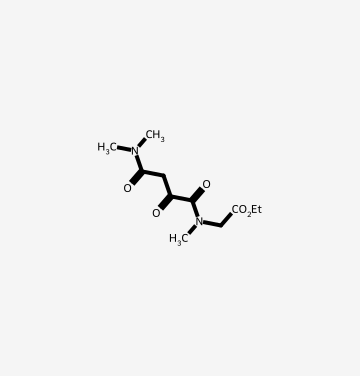 CCOC(=O)CN(C)C(=O)C(=O)CC(=O)N(C)C